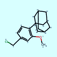 COc1cc(CCl)ccc1C12CC3CC(CC(C3)C1)C2